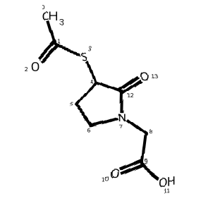 CC(=O)SC1CCN(CC(=O)O)C1=O